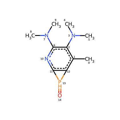 Cc1c(N(C)C)c(N(C)C)nc2c1[PH]2=O